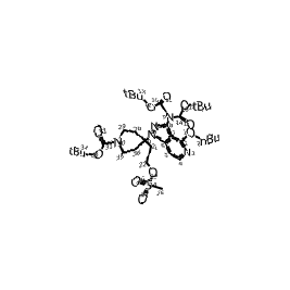 CCCCOc1nccc2c1c(N(C(=O)OC(C)(C)C)C(=O)OC(C)(C)C)nn2C1(CCOS(C)(=O)=O)CCN(C(=O)OC(C)(C)C)CC1